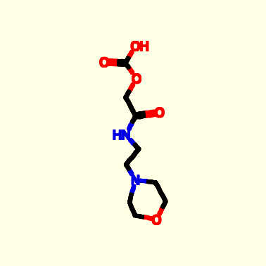 O=C(COC(=O)O)NCCN1CCOCC1